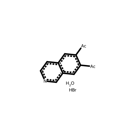 Br.CC(=O)c1cc2ccncc2cc1C(C)=O.O